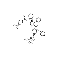 CC(C)(C)OC(=O)N1CCN(C(=O)c2ncn([C@H]3CCCC[C@H]3OC(=O)c3ccc([N+](=O)[O-])cc3)c2-c2ccccc2)[C@H](Cc2ccccc2)C1